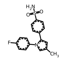 Cc1cc(-c2ccc(S(N)(=O)=O)cc2)n(-c2ccc(F)cc2)c1